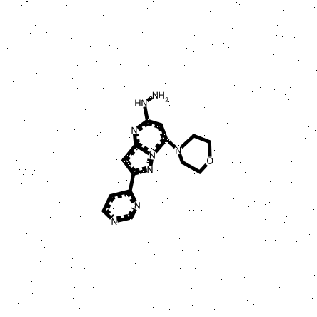 NNc1cc(N2CCOCC2)n2nc(-c3ccncn3)cc2n1